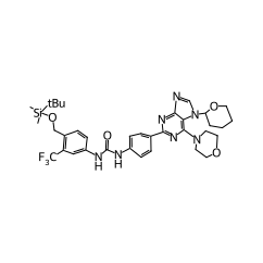 CC(C)(C)[Si](C)(C)OCc1ccc(NC(=O)Nc2ccc(-c3nc(N4CCOCC4)c4c(ncn4C4CCCCO4)n3)cc2)cc1C(F)(F)F